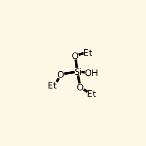 CCO[Si](O)(OCC)OCC